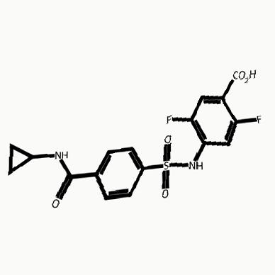 O=C(NC1CC1)c1ccc(S(=O)(=O)Nc2cc(F)c(C(=O)O)cc2F)cc1